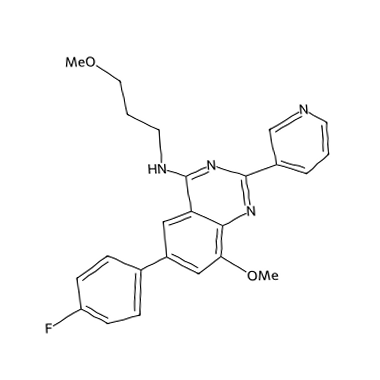 COCCCNc1nc(-c2cccnc2)nc2c(OC)cc(-c3ccc(F)cc3)cc12